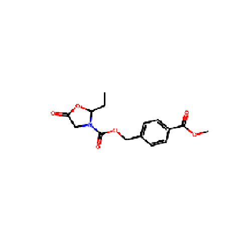 CCC1OC(=O)CN1C(=O)OCc1ccc(C(=O)OC)cc1